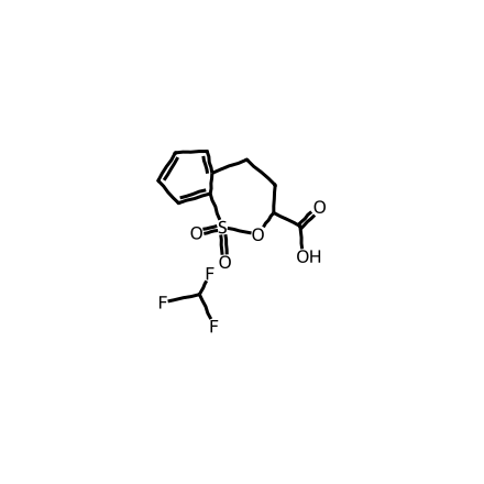 FC(F)F.O=C(O)C1CCc2ccccc2S(=O)(=O)O1